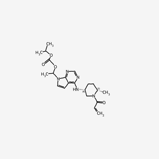 C=CC(=O)N1C[C@H](Nc2ncnc3c2ccn3C(C)OC(=O)OC(C)C)CC[C@@H]1C